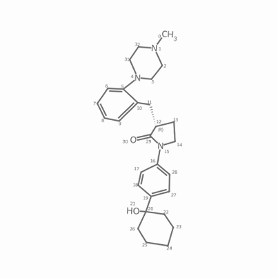 CN1CCN(c2ccccc2C[C@@H]2CCN(c3ccc(C4(O)CCCCC4)cc3)C2=O)CC1